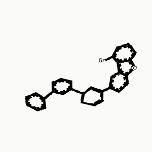 Brc1cccc2oc3ccc(C4=CC(c5cccc(-c6ccccc6)c5)CC=C4)cc3c12